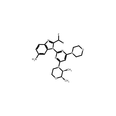 C[C@H]1OCCN(c2cc(N3CCOCC3)nc(-n3c(C(F)F)nc4ccc(N)cc43)n2)[C@H]1C